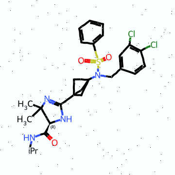 CC(C)NC(=O)[C@@H]1NC(C23CC(N(Cc4ccc(Cl)c(Cl)c4)S(=O)(=O)c4ccccc4)(C2)C3)=NC1(C)C